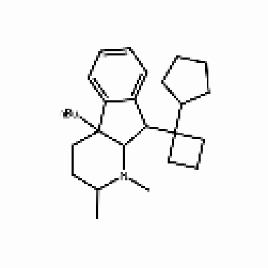 CCCCC12CCC(C)N(C)C1C(C1(C3CCCC3)CCC1)c1ccccc12